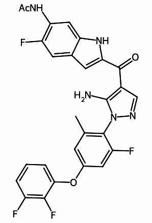 CC(=O)Nc1cc2[nH]c(C(=O)c3cnn(-c4c(C)cc(Oc5cccc(F)c5F)cc4F)c3N)cc2cc1F